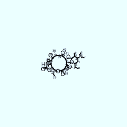 CCC1CC(N(C)C)C(C)[C@H](O[C@@H]2[C@@H](C)C(=O)[C@](C)(F)C(=O)O[C@H](CC)[C@@]3(C)OC(=O)N[C@@H]3[C@@H](C)C(=O)[C@H](C)C[C@@]2(C)OC)O1